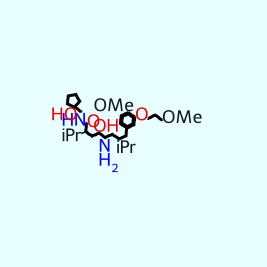 COCCCOc1cc(C[C@@H](C[C@H](N)[C@@H](O)C[C@H](C(=O)NCC2(O)CCCC2)C(C)C)C(C)C)ccc1OC